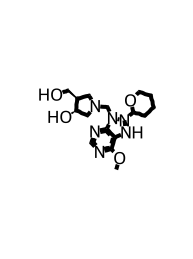 COc1ncnc2c1NN(C1CCCCO1)N2CN1C[C@H](CO)[C@@H](O)C1